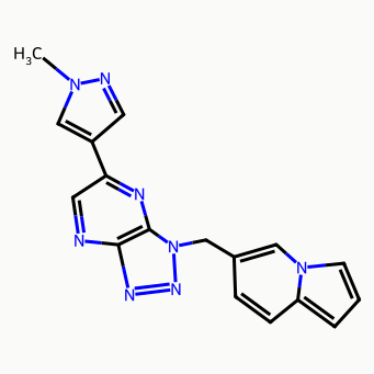 Cn1cc(-c2cnc3nnn(Cc4ccc5cccn5c4)c3n2)cn1